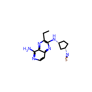 CCc1nc2c(N)nccc2nc1N[C@@H]1CC[C@H](N=S)C1